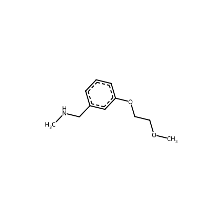 CNCc1cccc(OCCOC)c1